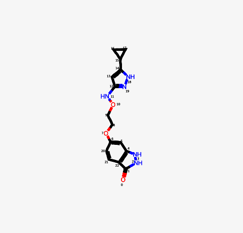 O=c1[nH][nH]c2cc(OCCONc3cc(C4CC4)[nH]n3)ccc12